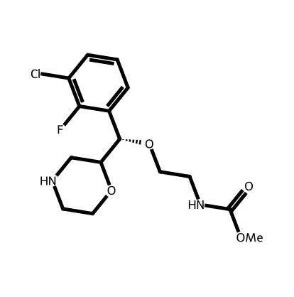 COC(=O)NCCO[C@@H](c1cccc(Cl)c1F)C1CNCCO1